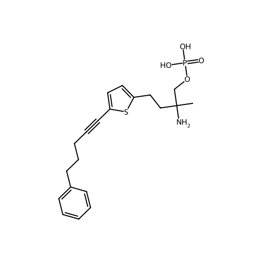 CC(N)(CCc1ccc(C#CCCCc2ccccc2)s1)COP(=O)(O)O